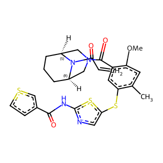 C=CC(=O)N1[C@@H]2CCC[C@H]1CN(C(=O)c1cc(Sc3cnc(NC(=O)c4ccsc4)s3)c(C)cc1OC)C2